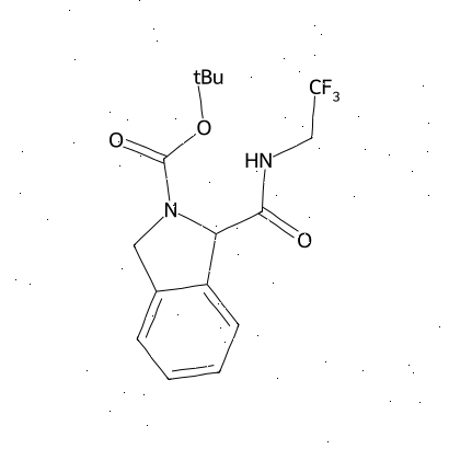 CC(C)(C)OC(=O)N1Cc2ccccc2C1C(=O)NCC(F)(F)F